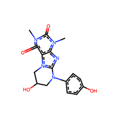 Cn1c(=O)c2c(nc3n2CC(O)CN3c2ccc(O)cc2)n(C)c1=O